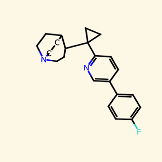 Fc1ccc(-c2ccc(C3(C4CCN5CCC4CC5)CC3)nc2)cc1